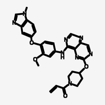 C=CC(=O)N1CCC(Oc2ncc3ncnc(Nc4ccc(Oc5ccc6c(c5)ncn6C)c(OC)c4)c3n2)CC1